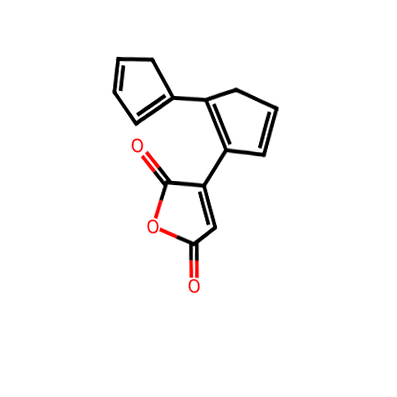 O=C1C=C(C2=C(C3=CC=CC3)CC=C2)C(=O)O1